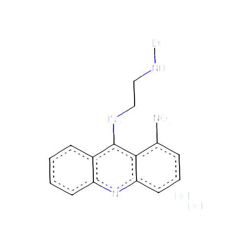 CCNCCNc1c2ccccc2nc2cccc([N+](=O)[O-])c12.Cl.Cl